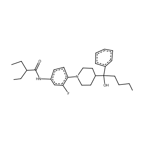 CCCCC(O)(c1ccccc1)C1CCN(c2ccc(NC(=O)C(CC)CC)cc2F)CC1